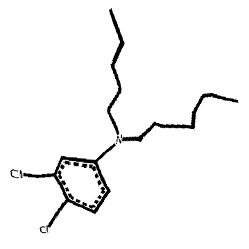 CCCCCN(CCCCC)c1ccc(Cl)c(Cl)c1